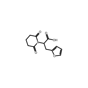 O=C(O)C(Cc1ccco1)N1C(=O)CCCC1=O